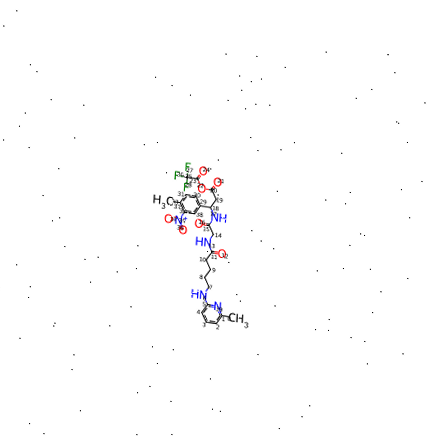 Cc1cccc(NCCCCC(=O)NCC(=O)NC(CC(=O)OC(=O)C(F)(F)F)c2ccc(C)c([N+](=O)[O-])c2)n1